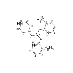 Cc1cccnc1CN(Cc1ncccc1C)CC1CCNCC1